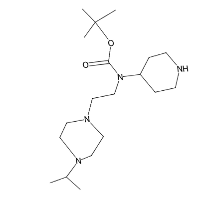 CC(C)N1CCN(CCN(C(=O)OC(C)(C)C)C2CCNCC2)CC1